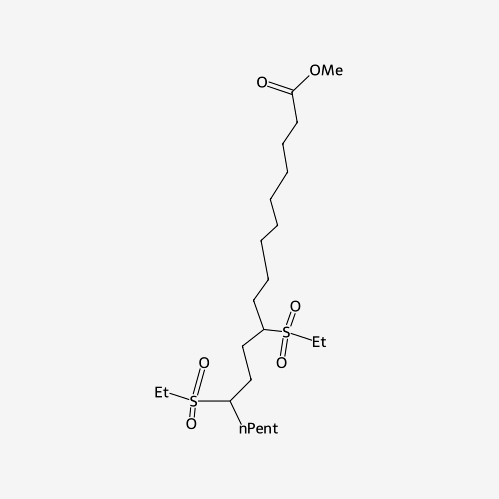 CCCCCC(CCC(CCCCCCCCC(=O)OC)S(=O)(=O)CC)S(=O)(=O)CC